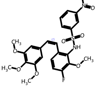 COc1cc(/C=C\c2ccc(F)c(OC)c2NS(=O)(=O)c2cccc([N+](=O)[O-])c2)cc(OC)c1OC